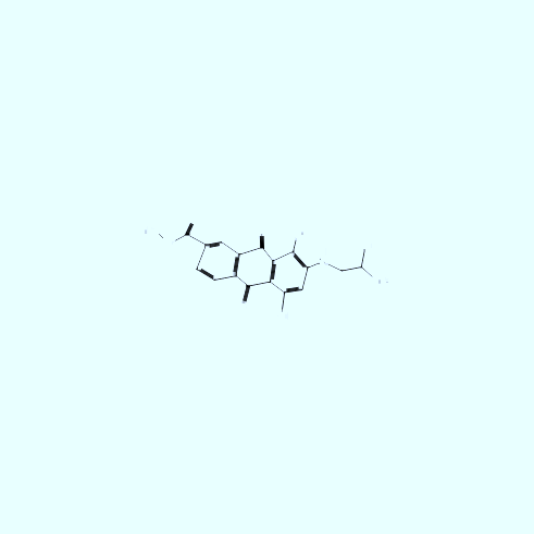 CCCCC(CC)CNc1cc(O)c2c(c1O)C(=O)c1cc(C(=O)OCCC)ccc1C2=O